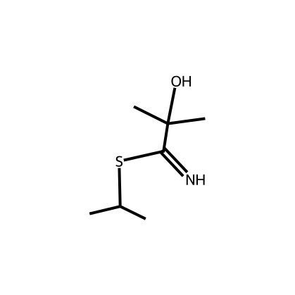 CC(C)SC(=N)C(C)(C)O